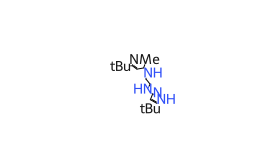 CN/C(=C\C(C)NCCNc1cc(C(C)(C)C)[nH]n1)C(C)(C)C